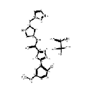 O=C(N[C@H]1CN[C@H](Cn2ccnn2)C1)c1nnc(-c2cc(OC(F)(F)F)ccc2Cl)o1.O=C(O)C(F)(F)F